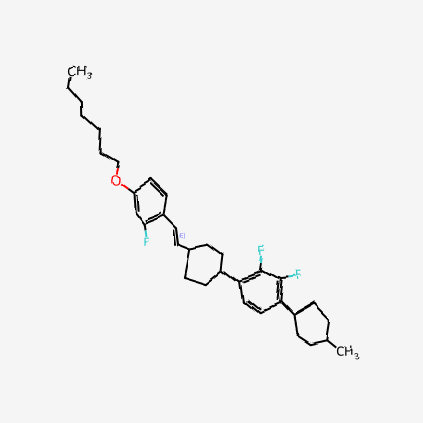 CCCCCCCOc1ccc(/C=C/C2CCC(c3ccc(C4CCC(C)CC4)c(F)c3F)CC2)c(F)c1